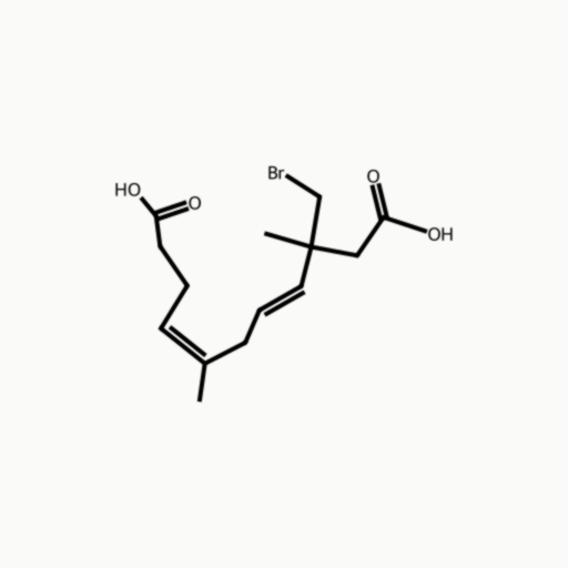 CC(=CCCC(=O)O)CC=CC(C)(CBr)CC(=O)O